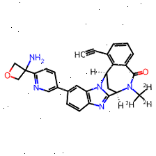 [2H]C([2H])([2H])N1C(=O)c2cccc(C#C)c2[C@H]2C[C@@H]1c1nc3ccc(-c4ccc(C5(N)COC5)nc4)cc3n12